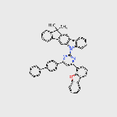 CC1(C)c2ccccc2-c2cc3c(cc21)c1ccccc1n3-c1nc(-c2ccc(-c3ccccc3)cc2)cc(-c2cccc3c2oc2ccccc23)n1